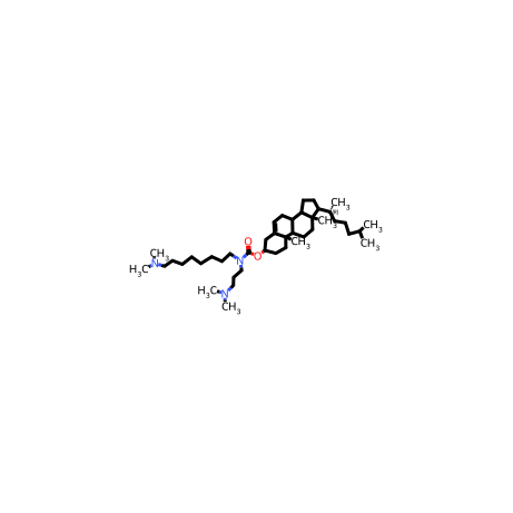 CC(C)CCC[C@@H](C)C1CCC2C3CC=C4CC(OC(=O)N(CCCCCCCCN(C)C)CCCN(C)C)CCC4(C)C3CCC21C